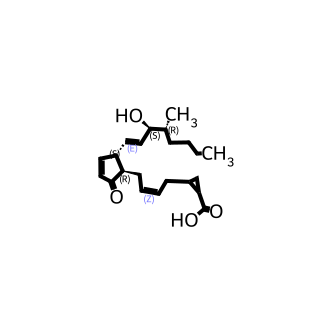 CCCC[C@@H](C)[C@H](O)/C=C/[C@H]1C=CC(=O)[C@@H]1C/C=C\CC1CC1C(=O)O